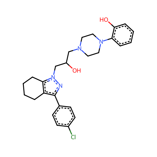 Oc1ccccc1N1CCN(CC(O)Cn2nc(-c3ccc(Cl)cc3)c3c2CCCC3)CC1